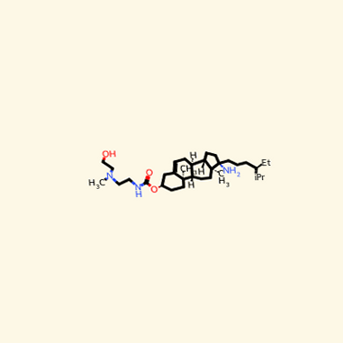 CC[C@H](CCC[C@@]1(N)CC[C@H]2[C@@H]3CC=C4C[C@@H](OC(=O)NCCN(C)CCO)CC[C@]4(C)[C@H]3CC[C@@]21C)C(C)C